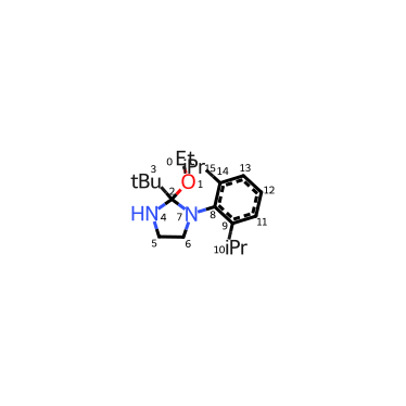 CCOC1(C(C)(C)C)NCCN1c1c(C(C)C)cccc1C(C)C